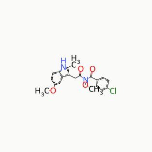 COc1ccc2[nH]c(C)c(CC(=O)N(OC)C(=O)c3ccc(Cl)cc3)c2c1